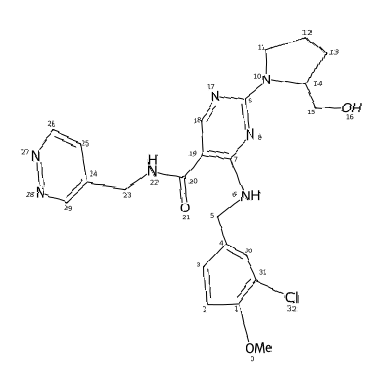 COc1ccc(CNc2nc(N3CCCC3CO)ncc2C(=O)NCc2ccnnc2)cc1Cl